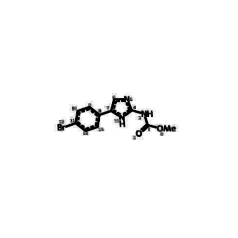 COC(=O)Nc1ncc(-c2ccc(Br)cc2)[nH]1